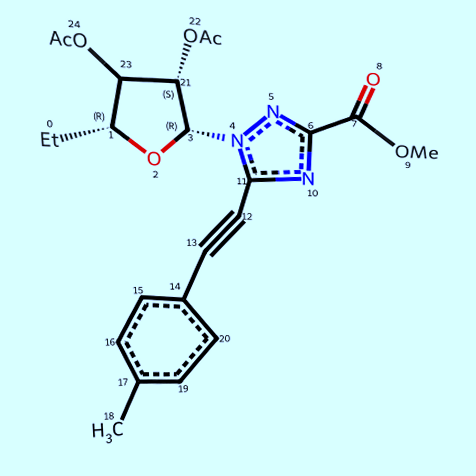 CC[C@H]1O[C@@H](n2nc(C(=O)OC)nc2C#Cc2ccc(C)cc2)[C@@H](OC(C)=O)C1OC(C)=O